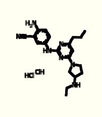 CCCc1cc(N2CCC(NCC)C2)nc(Nc2ccc(N)c(C#N)c2)n1.Cl.Cl